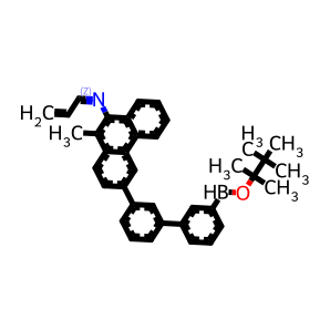 C=C/C=N\c1c(C)c2ccc(-c3cccc(-c4cccc(BOC(C)(C)C(C)(C)C)c4)c3)cc2c2ccccc12